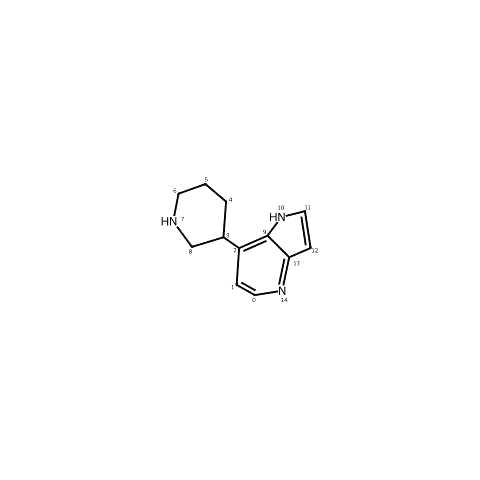 c1cc(C2CCCNC2)c2[nH]ccc2n1